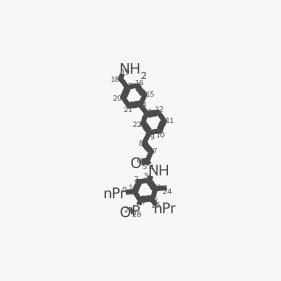 CCCc1cc(NC(=O)/C=C/c2cccc(-c3ccc(CN)cc3)c2)c(C)c(CCC)c1P=O